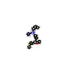 N/C(=N\C(=N/Cc1ccccc1)C1=CC2c3ccccc3C=CC2C=C1)c1ccc2ccc(-c3cc(-c4ccc5sc6ccccc6c5c4)cc4oc5ccccc5c34)cc2c1